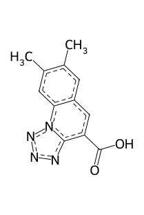 Cc1cc2cc(C(=O)O)c3nnnn3c2cc1C